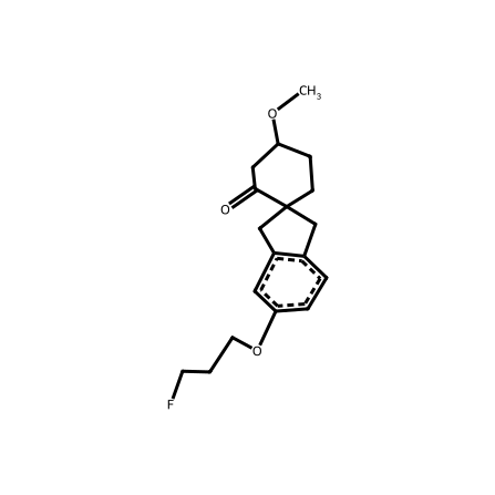 COC1CCC2(Cc3ccc(OCCCF)cc3C2)C(=O)C1